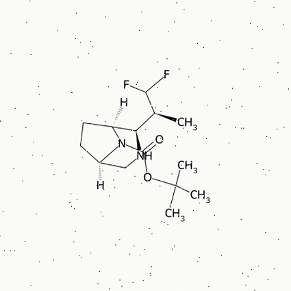 C[C@H](C(F)F)[C@H]1NC[C@H]2CC[C@@H]1N2C(=O)OC(C)(C)C